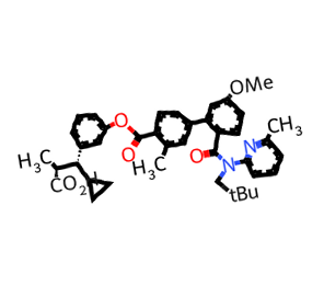 COc1ccc(C(=O)N(CC(C)(C)C)c2cccc(C)n2)c(-c2ccc(C(=O)Oc3cccc([C@H](C4CC4)[C@H](C)C(=O)O)c3)c(C)c2)c1